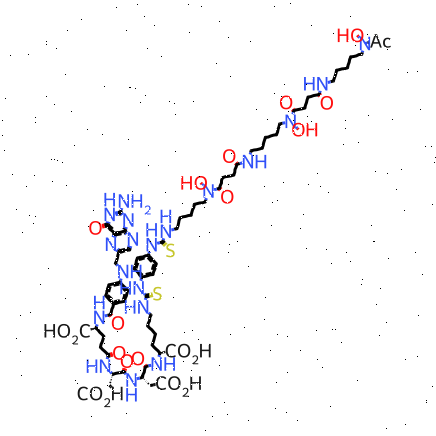 CC(=O)N(O)CCCCCNC(=O)CCC(=O)N(O)CCCCCNC(=O)CCC(=O)N(O)CCCCCNC(=S)Nc1ccc(NC(=S)NCCCC[C@H](NC(=O)[C@H](CC(=O)O)NC(=O)[C@H](CC(=O)O)NC(=O)CC[C@H](NC(=O)c2ccc(NCc3cnc4nc(N)[nH]c(=O)c4n3)cc2)C(=O)O)C(=O)O)cc1